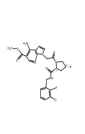 COC(=O)c1cnc2c(ccn2CC(=O)N2C[C@H](F)C[C@H]2C(=O)NCc2cccc(Cl)c2F)c1N